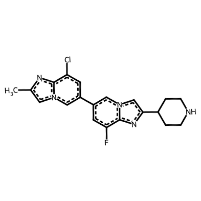 Cc1cn2cc(-c3cc(F)c4nc(C5CCNCC5)cn4c3)cc(Cl)c2n1